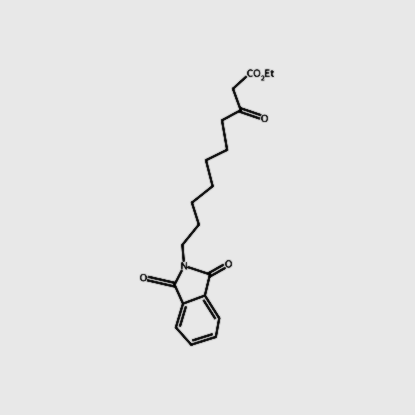 CCOC(=O)CC(=O)CCCCCCCN1C(=O)c2ccccc2C1=O